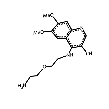 COc1cc2ncc(C#N)c(NCCOCCN)c2cc1OC